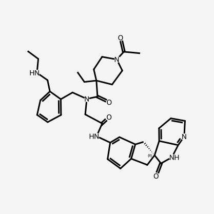 CCNCc1ccccc1CN(CC(=O)Nc1ccc2c(c1)C[C@@]1(C2)C(=O)Nc2ncccc21)C(=O)C1(CC)CCN(C(C)=O)CC1